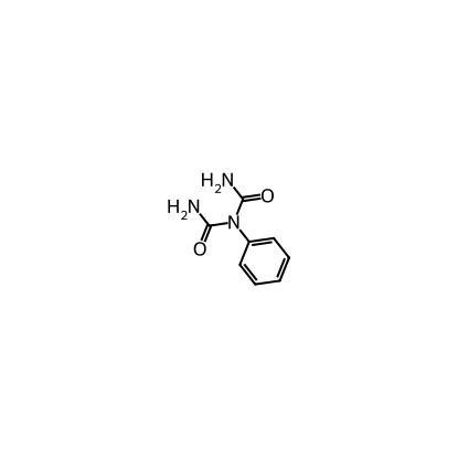 NC(=O)N(C(N)=O)c1ccccc1